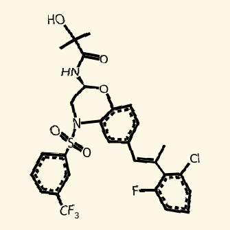 C/C(=C\c1ccc2c(c1)N(S(=O)(=O)c1cccc(C(F)(F)F)c1)C[C@@H](NC(=O)C(C)(C)O)O2)c1c(F)cccc1Cl